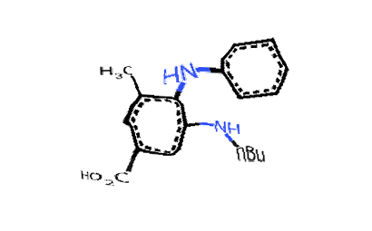 CCCCNc1cc(C(=O)O)cc(C)c1Nc1ccccc1